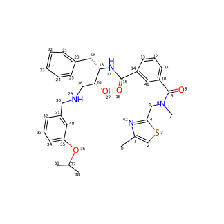 Cc1csc(CN(C)C(=O)c2cccc(C(=O)N[C@@H](Cc3ccccc3)[C@H](O)CNCc3cccc(OC(C)C)c3)c2)n1